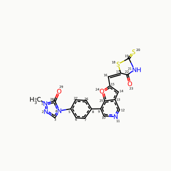 Cn1ncn(-c2ccc(-c3cncc4cc(C=C5SC(=S)NC5=O)oc34)cc2)c1=O